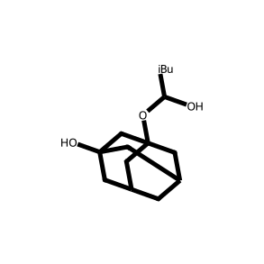 CCC(C)C(O)OC12CC3CC(CC(O)(C3)C1)C2